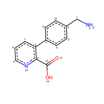 NCc1ccc(-c2cccnc2C(=O)O)cc1